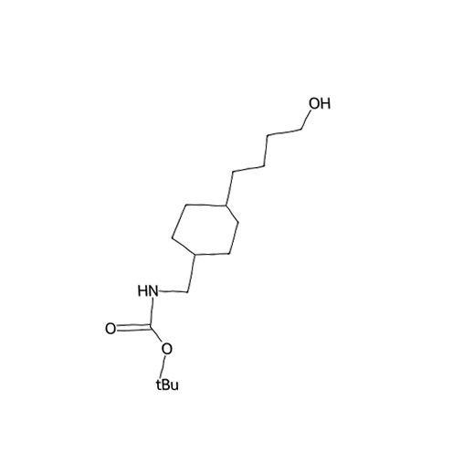 CC(C)(C)OC(=O)NCC1CCC(CCCCO)CC1